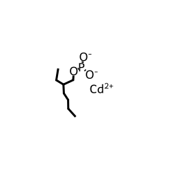 CCCCC(CC)COP([O-])[O-].[Cd+2]